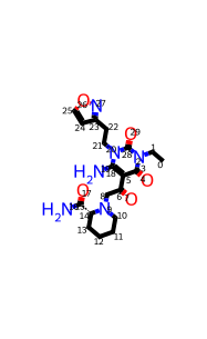 CCn1c(=O)c(C(=O)CN2CCCC[C@@H]2C(N)=O)c(N)n(CCc2ccon2)c1=O